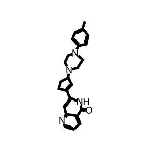 Cc1ccc(N2CCN(C3C=C(c4cc5ncccc5c(=O)[nH]4)CC3)CC2)cc1